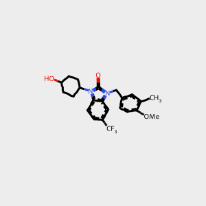 COc1ccc(Cn2c(=O)n(C3CCC(O)CC3)c3ccc(C(F)(F)F)cc32)cc1C